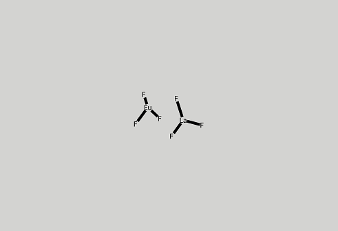 [F][Eu]([F])[F].[F][La]([F])[F]